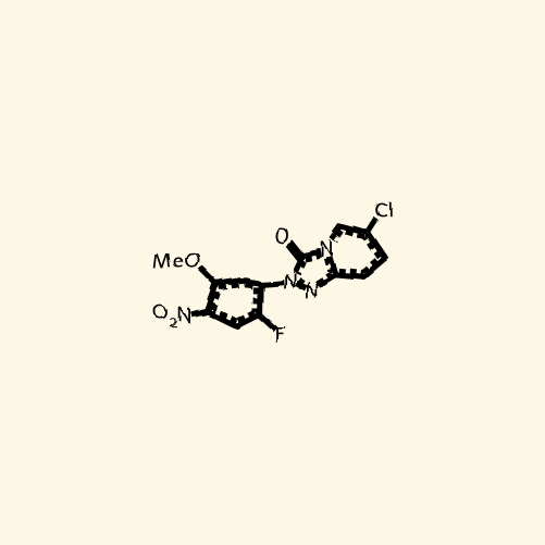 COc1cc(-n2nc3ccc(Cl)cn3c2=O)c(F)cc1[N+](=O)[O-]